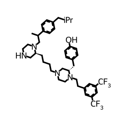 CC(C)Cc1ccc(C(C)CN2CCNC[C@@H]2CCCCN2CCN(CCc3cc(C(F)(F)F)cc(C(F)(F)F)c3)[C@@H](Cc3ccc(O)cc3)C2)cc1